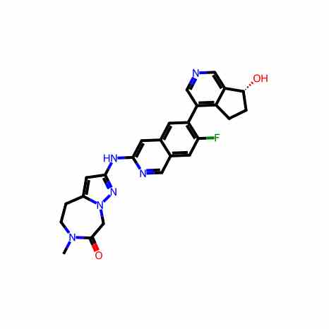 CN1CCc2cc(Nc3cc4cc(-c5cncc6c5CC[C@H]6O)c(F)cc4cn3)nn2CC1=O